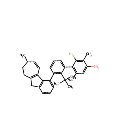 Bc1cc(C)c(-c2cccc(-c3cccc4c3C3=C(CCC(C)C=C3)C4)c2C(C)(C)C)c(S)c1C